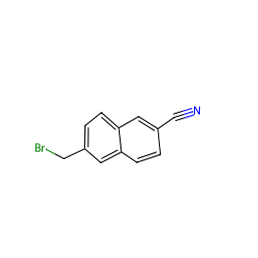 N#Cc1ccc2cc(CBr)ccc2c1